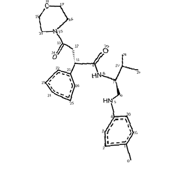 Cc1ccc(NC[C@@H](NC(=O)[C@@H](CC(=O)N2CCOCC2)c2ccccc2)C(C)C)cc1